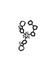 C1=CCc2c(sc3cc(-c4nc(-c5cccc(-c6cccc(-c7ccccc7)c6)c5)nc(-c5ccc6sc7c(c6c5)C=CCC=C7)n4)ccc23)C=C1